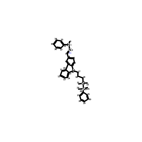 CN(/N=C/c1ccc2c(c1)c1ccccc1n2CCC[Si](C)(C)[Si](C)(C)c1ccccc1)c1ccccc1